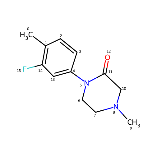 Cc1ccc(N2CCN(C)CC2=O)cc1F